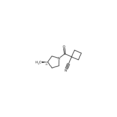 C[C@@H]1CCN(C(=O)C2(C#N)CCC2)C1